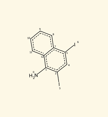 Nc1c(I)cc(I)c2ccccc12